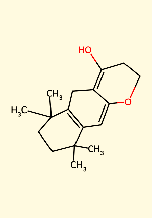 CC1(C)CCC(C)(C)C2=C1C=C1OCCC(O)=C1C2